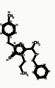 CCCn1c(C(C)OCc2ccccc2)nn(Cc2ccc(C)cc2)c1=O